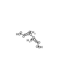 COc1cc2c(cc1OCCCOc1cc3c(cc1OC)CN(C(=O)CCC(=O)O)C3)CN(C(=O)CCC(=O)O)C2